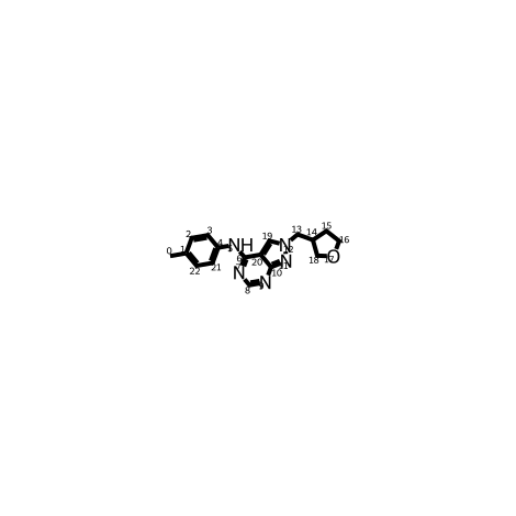 Cc1ccc(Nc2ncnc3nn(CC4CCOC4)cc23)cc1